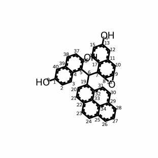 Oc1ccc2c(C(c3c4c(cc5cc(O)ccc35)O4)c3ccc4ccc5cccc6ccc3c4c56)c(O)ccc2c1